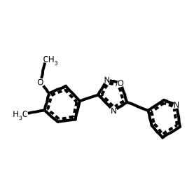 COc1cc(-c2noc(-c3cccnc3)n2)ccc1C